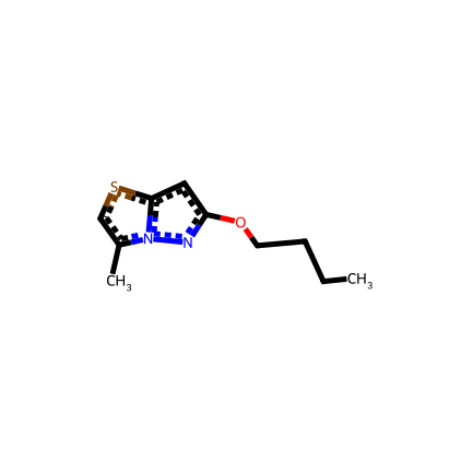 CCCCOc1cc2scc(C)n2n1